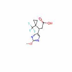 COc1ncc(C(CC(=O)O)C2(C(F)(F)F)CC2)cn1